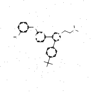 COc1cccc(Nc2nccc(-c3cn(CCN(C)C)nc3-c3ccc(C(F)(F)F)cc3)n2)c1